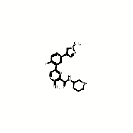 Cn1cc(-c2ccc(F)c(-c3cnc(N)c(C(=O)NC4CCCNC4)n3)c2)cn1